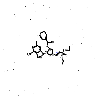 CCOP(=O)(/C=C/[C@@H]1C[C@@H](OC(=O)c2ccccc2)[C@H](n2nnc3c(N)nc(C)nc32)O1)OCC